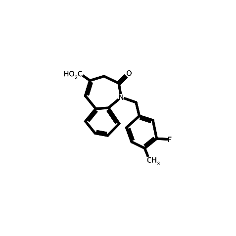 Cc1ccc(CN2C(=O)CC(C(=O)O)=Cc3ccccc32)cc1F